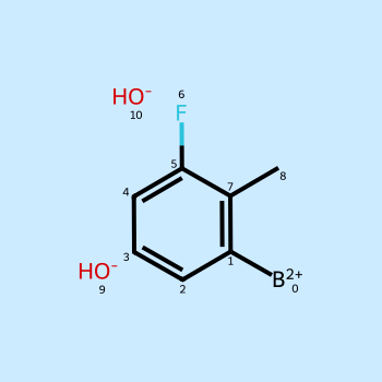 [B+2]c1cccc(F)c1C.[OH-].[OH-]